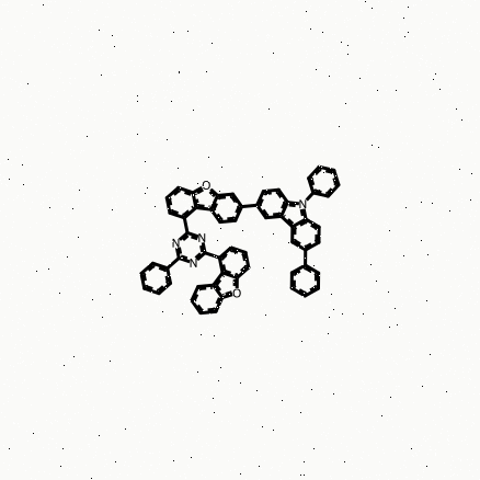 c1ccc(-c2ccc3c(c2)c2cc(-c4ccc5c(c4)oc4cccc(-c6nc(-c7ccccc7)nc(-c7cccc8oc9ccccc9c78)n6)c45)ccc2n3-c2ccccc2)cc1